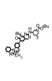 CC[C@@H](C)n1c(=O)c(-c2ccc(N(c3ccccc3F)S(C)(=O)=O)c(F)c2)cc2cnc(NC3CC(F)CN(C(=O)OC(C)(C)C)C3)nc21